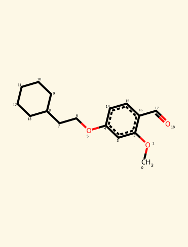 COc1cc(OCCC2CCCCC2)ccc1C=O